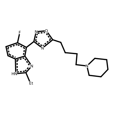 CCc1nc2c(-c3noc(CCCCN4CCCCC4)n3)c(F)ccc2[nH]1